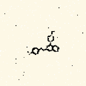 CCN1CCN(c2nc(CCc3ccc(OC)cc3)cc3ccccc23)CC1